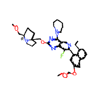 CCc1cccc2cc(OCOC)cc(-c3ncc4c(N5CCCCCC5)nc(OCC56CCCN5[C@@H](COC)CC6)nc4c3F)c12